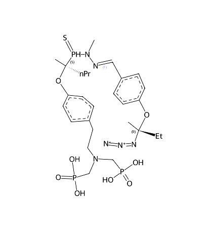 CCC[C@@](C)(Oc1ccc(CCN(CP(=O)(O)O)CP(=O)(O)O)cc1)[PH](=S)N(C)/N=C/c1ccc(O[C@](C)(CC)N=[N+]=[N-])cc1